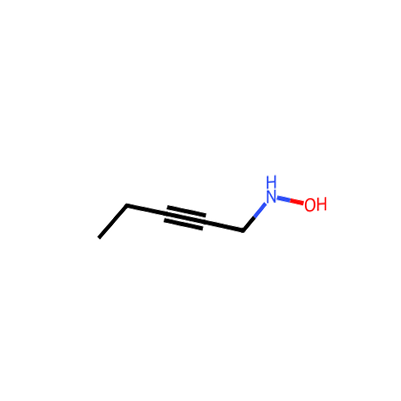 CCC#CCNO